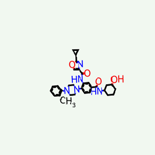 Cc1ccccc1N1CCN(c2ccc(C(=O)NC3CCCC(O)C3)cc2NC(=O)c2coc(C3CC3)n2)CC1